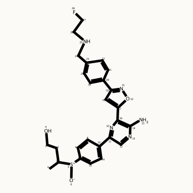 CC(CCO)[S+]([O-])c1ccc(-c2cnc(N)c(-c3cc(-c4ccc(CNCCF)cc4)no3)n2)cc1